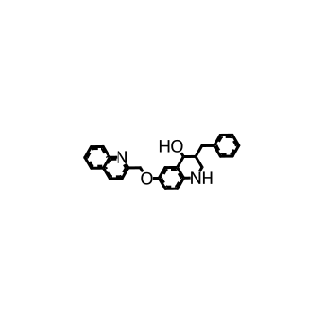 OC1c2cc(OCc3ccc4ccccc4n3)ccc2NCC1Cc1ccccc1